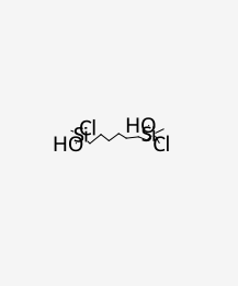 C[Si](O)(Cl)CCCCCCC[Si](C)(O)Cl